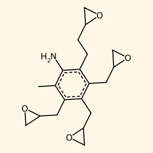 Cc1c(N)c(CCC2CO2)c(CC2CO2)c(CC2CO2)c1CC1CO1